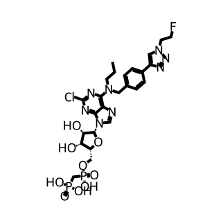 CCCN(Cc1ccc(-c2cn(CCF)nn2)cc1)c1nc(Cl)nc2c1ncn2[C@@H]1O[C@H](COP(=O)(O)CP(=O)(O)O)[C@H](O)[C@@H]1O